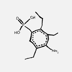 CCc1cc(P(=O)(O)O)c(CC)c(C)c1N